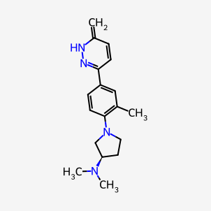 C=C1C=CC(c2ccc(N3CC[C@@H](N(C)C)C3)c(C)c2)=NN1